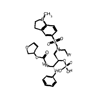 CB1CCc2cc(S(=O)(=O)N(CC(C)C)C[C@@H](OP(=O)(O)O)[C@H](Cc3ccccc3)NC(=O)OC3CCOC3)ccc21